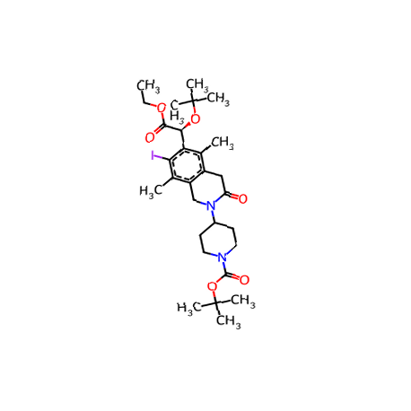 CCOC(=O)[C@@H](OC(C)(C)C)c1c(C)c2c(c(C)c1I)CN(C1CCN(C(=O)OC(C)(C)C)CC1)C(=O)C2